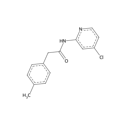 Cc1ccc(CC(=O)Nc2cc(Cl)ccn2)cc1